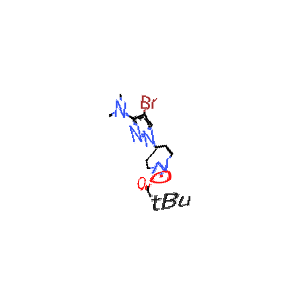 CN(C)c1nn(C2CCN(OC(=O)C(C)(C)C)CC2)cc1Br